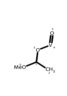 COC(C)[O][V]=[O]